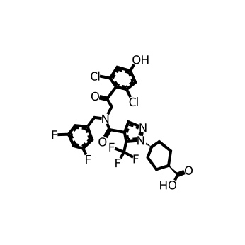 O=C(CN(Cc1cc(F)cc(F)c1)C(=O)c1cnn([C@H]2CC[C@H](C(=O)O)CC2)c1C(F)(F)F)c1c(Cl)cc(O)cc1Cl